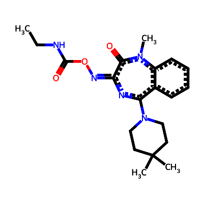 CCNC(=O)ON=c1nc(N2CCC(C)(C)CC2)c2ccccc2n(C)c1=O